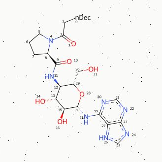 CCCCCCCCCCCC(=O)N1CCC[C@@H]1C(=O)N[C@@H]1[C@@H](O)[C@H](O)[C@@H](Nc2ncnc3nc[nH]c23)O[C@H]1CO